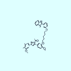 COc1ccc(-c2cc(-c3cc(C)c(C)c(OC)c3)nn2C(C)=O)cc1OCCCCCOc1cccc(-c2nc3ccccc3s2)c1